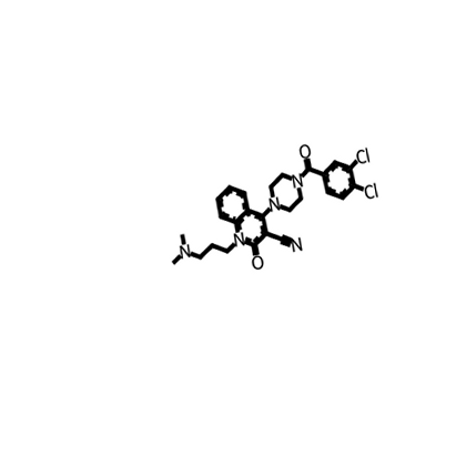 CN(C)CCCn1c(=O)c(C#N)c(N2CCN(C(=O)c3ccc(Cl)c(Cl)c3)CC2)c2ccccc21